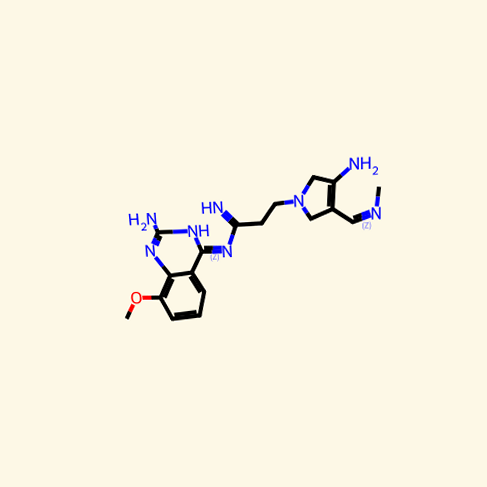 C/N=C\C1=C(N)CN(CCC(=N)/N=c2\[nH]c(N)nc3c(OC)cccc23)C1